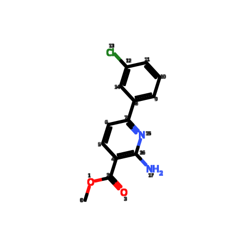 COC(=O)c1ccc(-c2cccc(Cl)c2)nc1N